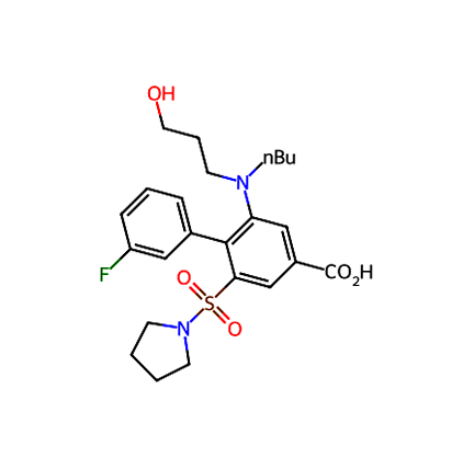 CCCCN(CCCO)c1cc(C(=O)O)cc(S(=O)(=O)N2CCCC2)c1-c1cccc(F)c1